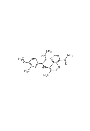 CNC[C@@H](Nc1c(C)cnc2c(C(N)=O)cccc12)c1ccc(OC)c(C)c1